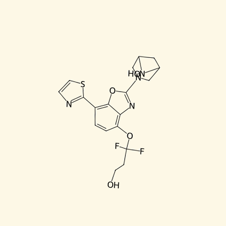 OCCC(F)(F)Oc1ccc(-c2nccs2)c2oc(N3CC4CC(C3)N4O)nc12